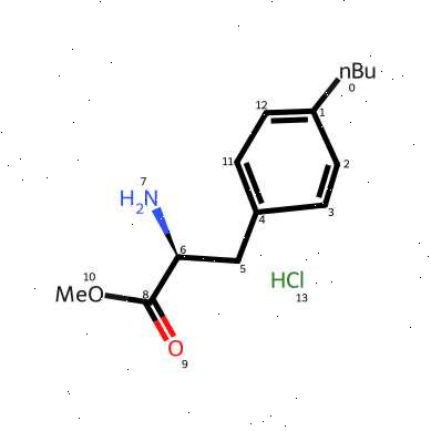 CCCCc1ccc(C[C@H](N)C(=O)OC)cc1.Cl